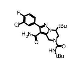 CC(C)(C)NC(=O)N1Cc2c(C(N)=O)c(-c3ccc(F)c(Cl)c3)nn2C(C(C)(C)C)C1